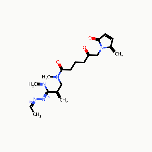 C=N/C(=N\N=C/C)C(=C)CN(C)C(=O)CCCC(=O)CN1C(=C)C=CC1=O